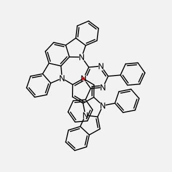 c1ccc(-c2nc(-c3ccccc3)nc(-n3c4ccccc4c4ccc5c6ccccc6n(-c6ccc7c(c6)n6c8ccccc8cc6n7-c6ccccc6)c5c43)n2)cc1